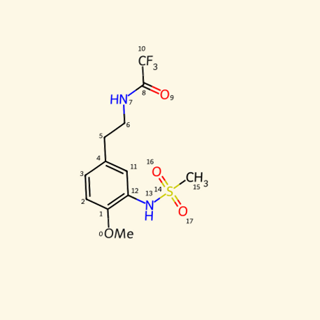 COc1ccc(CCNC(=O)C(F)(F)F)cc1NS(C)(=O)=O